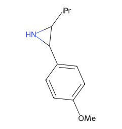 COc1ccc(C2NC2C(C)C)cc1